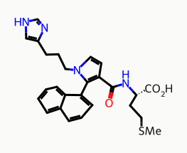 CSCC[C@H](NC(=O)c1ccn(CCCc2c[nH]cn2)c1-c1cccc2ccccc12)C(=O)O